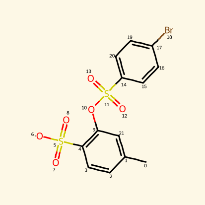 Cc1ccc(S([O])(=O)=O)c(OS(=O)(=O)c2ccc(Br)cc2)c1